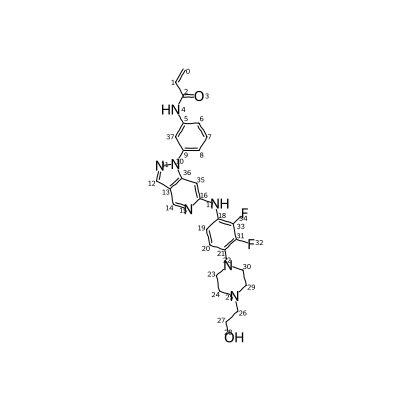 C=CC(=O)Nc1cccc(-n2ncc3cnc(Nc4ccc(N5CCN(CCO)CC5)c(F)c4F)cc32)c1